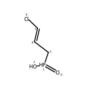 O=[PH](O)CC=CCl